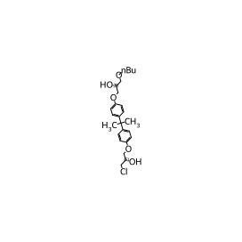 CCCCOC[C@@H](O)COc1ccc(C(C)(C)c2ccc(OC[C@H](O)CCl)cc2)cc1